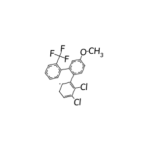 COc1ccc(C2=C(Cl)C(Cl)=CC[CH]2)c(-c2ccccc2C(F)(F)F)c1